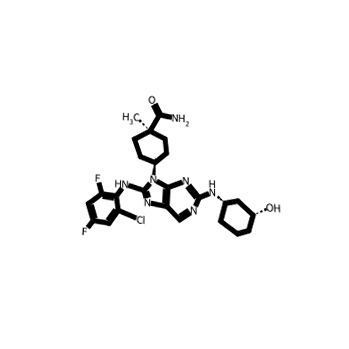 C[C@]1(C(N)=O)CC[C@@H](n2c(Nc3c(F)cc(F)cc3Cl)nc3cnc(N[C@H]4CCC[C@@H](O)C4)nc32)CC1